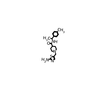 Cc1ccc(C(C)NC(=O)C2CCN(Cc3cnc(N)s3)CC2)cc1